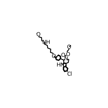 COCCCNCCCCCCOc1ccc(C2c3[nH]c4ccc(Cl)cc4c3CCN2C(=O)OCCOC)cc1